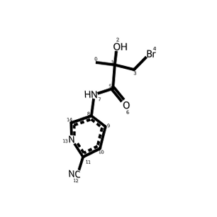 CC(O)(CBr)C(=O)Nc1ccc(C#N)nc1